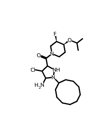 CC(C)O[C@H]1CCN(C(=O)C2NN(C3CCCCCCCCC3)C(N)C2Cl)C[C@H]1F